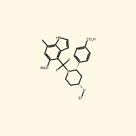 CCO[C@@H]1CCN(C(F)(F)c2c(OC)cc(C)c3[nH]ccc23)[C@H](c2ccc(C(=O)O)cc2)C1